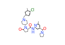 Cc1cc(C(=O)N2CCCC2)cc(NC(=O)C2CCC(=O)N2C2CCN(Cc3ccc(Cl)c(C)c3)CC2)n1